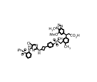 COc1cc(C(CC(=O)O)c2ccc(C)c(CN(C)S(=O)(=O)c3ccc(C4CC(Nc5ncc(Cl)c(Nc6ccccc6S(=O)(=O)C(C)C)n5)C4)cc3)c2)cc2nnn(C)c12